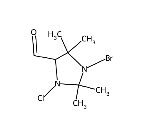 CC1(C)C(C=O)N(Cl)C(C)(C)N1Br